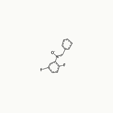 [O-][N+](=Cc1ccccc1)c1cc(F)ccc1F